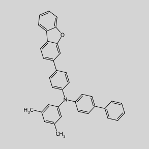 Cc1cc(C)cc(N(c2ccc(-c3ccccc3)cc2)c2ccc(-c3ccc4c(c3)oc3ccccc34)cc2)c1